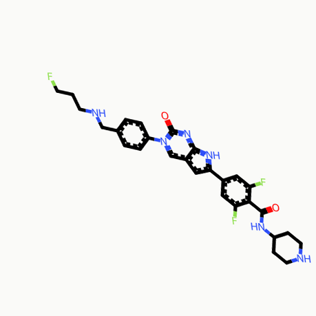 O=C(NC1CCNCC1)c1c(F)cc(-c2cc3cn(-c4ccc(CNCCCF)cc4)c(=O)nc3[nH]2)cc1F